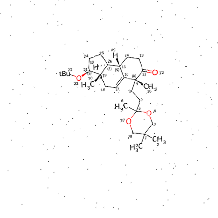 CC1(C)COC(C)(CC[C@@]2(C)C(=O)CC[C@@H]3C2=CC[C@]2(C)[C@@H](OC(C)(C)C)CC[C@@H]32)OC1